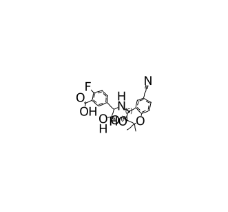 CC1(C)Oc2ccc(C#N)cc2[C@H](NC(C(=O)O)c2ccc(F)c(C(=O)O)c2)[C@H]1O